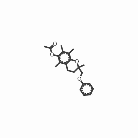 CC(=O)Oc1c(C)c(C)c2c(c1C)CCC(C)(COc1cc[c]cc1)O2